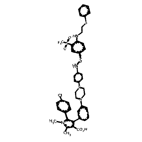 Cc1c(C(=O)O)c(-c2cccc(N3CCN(c4ccc(NSc5ccc(NCCSc6ccccc6)c(S(=O)(=O)C(F)(F)F)c5)cc4)CC3)c2)c(-c2ccc(Cl)cc2)n1C